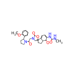 CNC(=O)NC1=CC=C2C(CC[C@]23CN(CC(=O)N2CCCC2c2ccccc2OC)C(=O)O3)C1=O